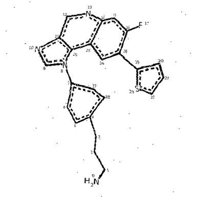 NCCCc1ccc(-n2cnc3cnc4cc(F)c(-c5cccs5)cc4c32)cc1